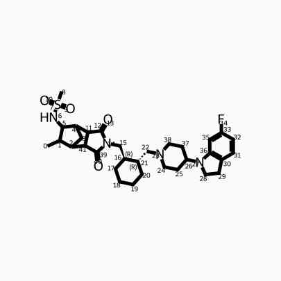 CC1C2CC(C1NS(C)(=O)=O)C1C(=O)N(C[C@@H]3CCCC[C@H]3CN3CCC(N4CCc5ccc(F)cc54)CC3)C(=O)C21